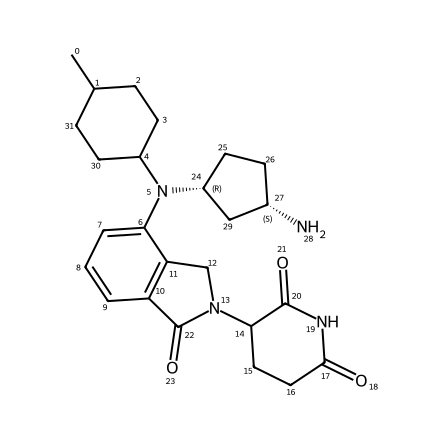 CC1CCC(N(c2cccc3c2CN(C2CCC(=O)NC2=O)C3=O)[C@@H]2CC[C@H](N)C2)CC1